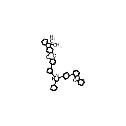 CC1(C)c2ccccc2-c2cc3c(cc21)Oc1ccc(-c2cccc(-c4nc(-c5ccccc5)cc(-c5ccc(-c6cccc7c6oc6ccccc67)cc5)n4)c2)cc1O3